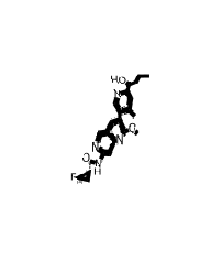 CCCC(O)c1cc(C)c(-c2cc3cnc(NC(=O)[C@@H]4C[C@@H]4F)cc3nc2OC)cn1